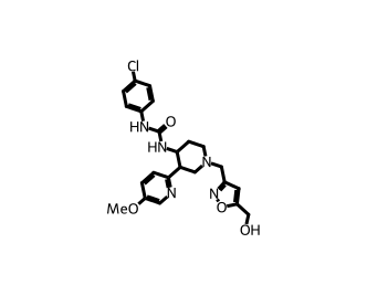 COc1ccc(C2CN(Cc3cc(CO)on3)CCC2NC(=O)Nc2ccc(Cl)cc2)nc1